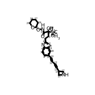 C[C@@](CCc1nc2ccc(C#CC#CC3CNC3)cc2s1)(C(=O)NOC1CCCCO1)S(C)(=O)=O